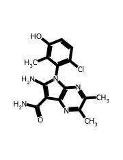 Cc1nc2c(C(N)=O)c(N)n(-c3c(Cl)ccc(O)c3C)c2nc1C